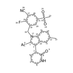 CC(=O)c1c(-c2ccc[nH]c2=O)c2cc(C)ccc2n1Cc1cc(S(C)(=O)=O)cc(C#N)c1F